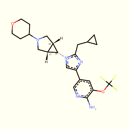 Nc1ncc(-c2cn([C@@H]3[C@@H]4CN(C5CCOCC5)C[C@@H]43)c(CC3CC3)n2)cc1OC(F)(F)F